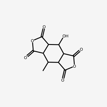 CC1C2C(=O)OC(=O)C2C(O)C2C(=O)OC(=O)C12